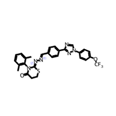 Cc1cccc(C)c1N1C(=O)CCS/C1=N\N=C\c1ccc(-c2ncn(-c3ccc(OC(F)(F)F)cc3)n2)cc1